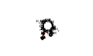 CCC(C)[C@@H]1NC(=O)[C@H](CC(N)=O)NC(=O)[C@@H](N)CC(=O)NCCCC[C@@H](C(N)=O)NC[C@](C=O)(Cc2c[nH]c3ccccc23)NC(=O)[C@@H]2C[C@H](n3cc(C4C5CC6CC(C5)CC4C6)nn3)CN2C1=O